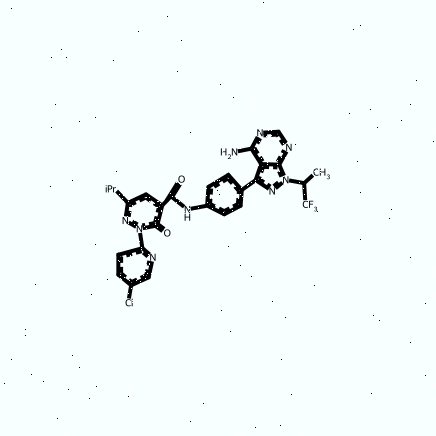 CC(C)c1cc(C(=O)Nc2ccc(-c3nn(C(C)C(F)(F)F)c4ncnc(N)c34)cc2)c(=O)n(-c2ccc(Cl)cn2)n1